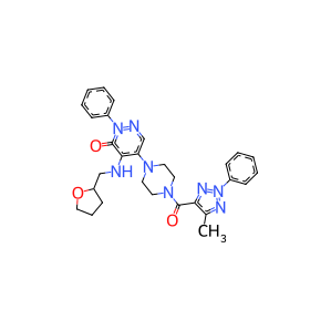 Cc1nn(-c2ccccc2)nc1C(=O)N1CCN(c2cnn(-c3ccccc3)c(=O)c2NCC2CCCO2)CC1